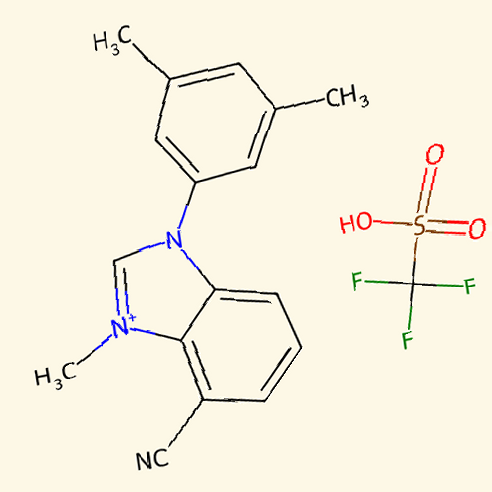 Cc1cc(C)cc(-n2c[n+](C)c3c(C#N)cccc32)c1.O=S(=O)(O)C(F)(F)F